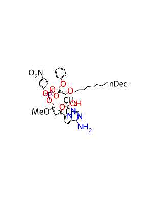 CCCCCCCCCCCCCCCCCCOC[C@H](COc1ccccc1)OP(=O)(OC[C@H](C[C@@H](OC(C)(C)O)c1ccc2c(N)ncnn12)OC)Oc1ccc([N+](=O)[O-])cc1